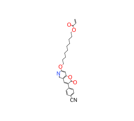 C=CC(=O)OCCCCCCCCCCOc1cc2oc(=O)c(-c3ccc(C#N)cc3)cc2cn1